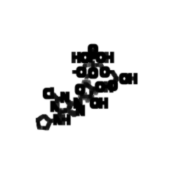 COCC(COCC(=O)O)(OC[C@H]1O[C@@H](n2ncc3c(NC4CCCC4)nc(Cl)nc32)[C@H](O)[C@@H]1O)P(=O)(O)O